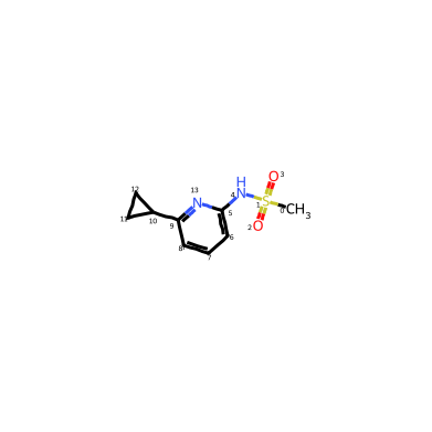 CS(=O)(=O)Nc1cc[c]c(C2CC2)n1